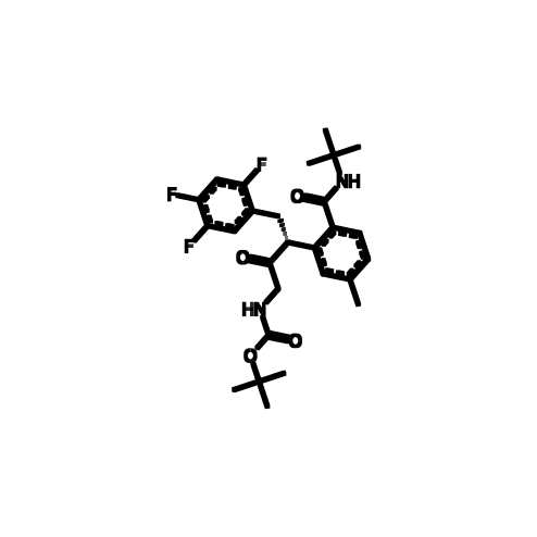 Cc1ccc(C(=O)NC(C)(C)C)c([C@@H](Cc2cc(F)c(F)cc2F)C(=O)CNC(=O)OC(C)(C)C)c1